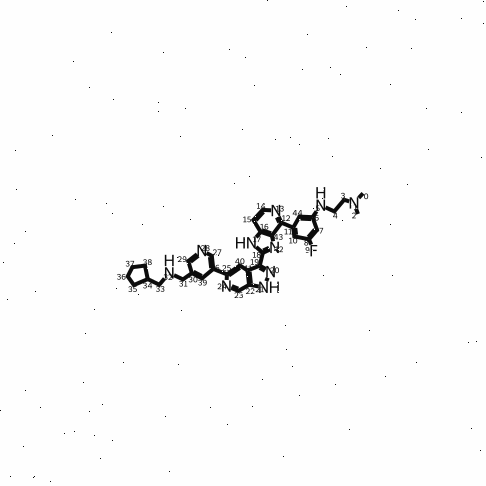 CN(C)CCNc1cc(F)cc(-c2nccc3[nH]c(-c4n[nH]c5cnc(-c6cncc(CNCC7CCCC7)c6)cc45)nc23)c1